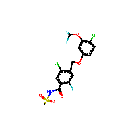 CS(=O)(=O)NC(=O)c1cc(Cl)c(COc2ccc(Cl)c(OC(F)F)c2)cc1F